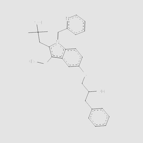 CC(C)(O)Cc1c(SC(C)(C)C)c2cc(SCC(O)Cc3ccccc3)ccc2n1Cc1ccccn1